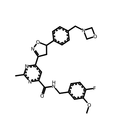 COc1cc(CNC(=O)c2cc(C3=NOC(c4ccc(CN5COC5)cc4)C3)nc(C)n2)ccc1F